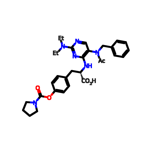 CCN(CC)c1ncc(N(Cc2ccccc2)C(C)=O)c(N[C@@H](Cc2ccc(OC(=O)N3CCCC3)cc2)C(=O)O)n1